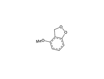 COc1cccc2c1COO2